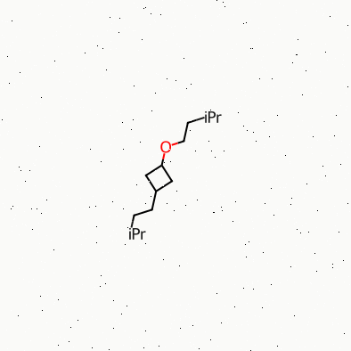 CC(C)CCOC1CC(CCC(C)C)C1